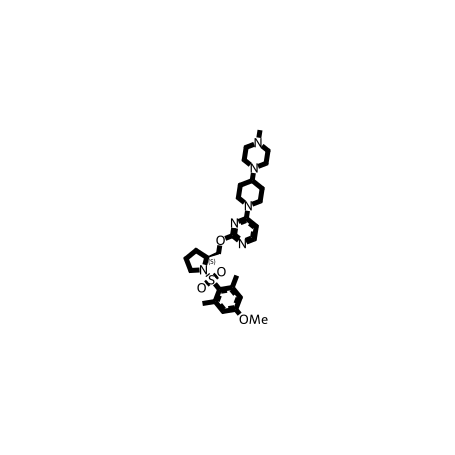 COc1cc(C)c(S(=O)(=O)N2CCC[C@H]2COc2nccc(N3CCC(N4CCN(C)CC4)CC3)n2)c(C)c1